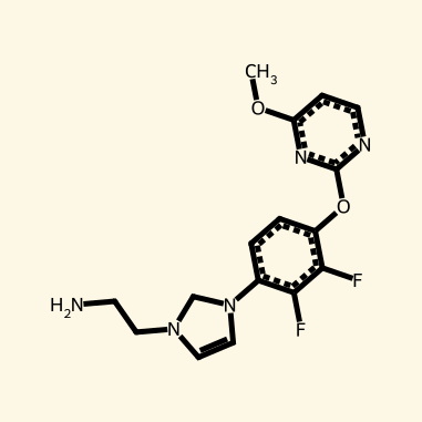 COc1ccnc(Oc2ccc(N3C=CN(CCN)C3)c(F)c2F)n1